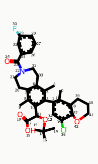 Cc1c(-c2c(C)c3c(c(C)c2C(OC(C)(C)C)C(=O)O)CCN(C(=O)c2cccc(F)c2)CC3)cc(Cl)c2c1CCCO2